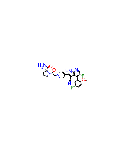 COc1ccc(F)cc1-c1c(F)cnc2[nH]c(C3=CCN(CC(=O)N4CCC[C@H]4C(N)=O)CC3)c(C#N)c12